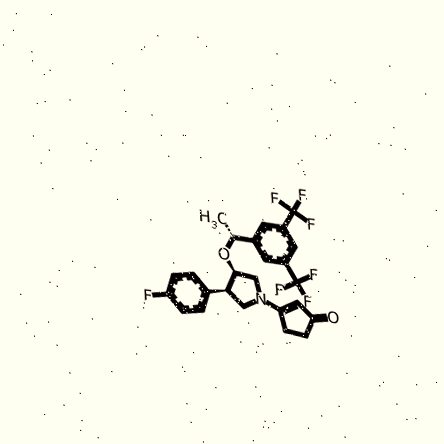 C[C@@H](O[C@H]1CN(C2=CC(=O)CC2)C[C@H]1c1ccc(F)cc1)c1cc(C(F)(F)F)cc(C(F)(F)F)c1